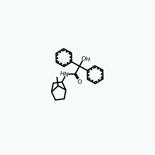 CC1C2CCC1C(NC(=O)C(O)(c1ccccc1)c1ccccc1)C2